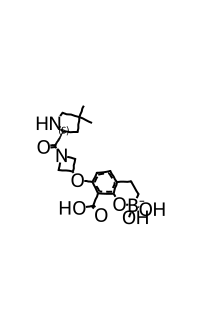 CC1(C)CN[C@H](C(=O)N2CC(Oc3ccc4c(c3C(=O)O)O[B-](O)(O)CC4)C2)C1